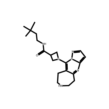 CC(C)(C)CCNC(=O)C1CN(c2c3c(nc4ccnn24)CCNCC3)C1